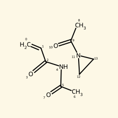 C=CC(=O)NC(C)=O.CC(=O)N1CC1